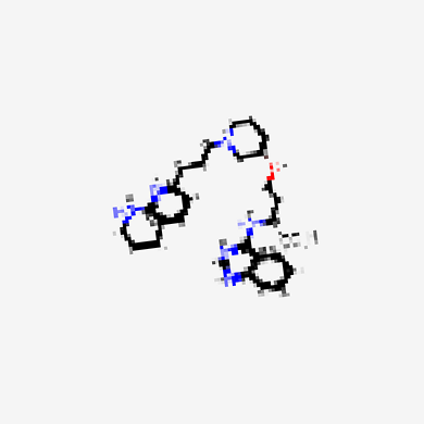 O=C(O)[C@@H](CCO[C@H]1CCCN(CCCc2ccc3c(n2)NCCC3)C1)Nc1ncnc2ccccc12